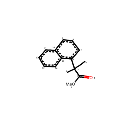 COC(=O)C(C)(C)c1cccc2ccccc12